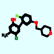 Cc1cc(O)c(-c2cc(OCC3CCOCC3)ccc2F)cc1Cl